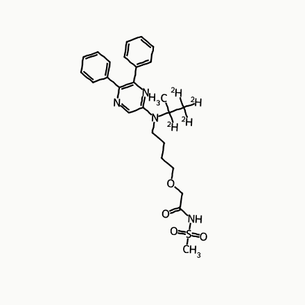 [2H]C([2H])([2H])C([2H])(C)N(CCCCOCC(=O)NS(C)(=O)=O)c1cnc(-c2ccccc2)c(-c2ccccc2)n1